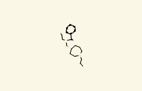 CC(C)CCN1CCC[C@H](CN(CCO)C(=O)c2ccccc2)CC1